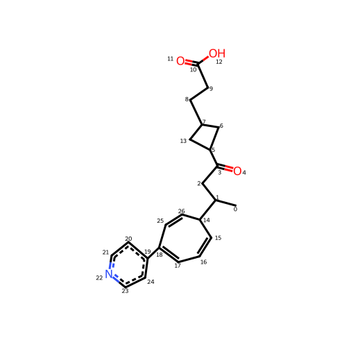 CC(CC(=O)C1CC(CCC(=O)O)C1)C1C=CC=C(c2ccncc2)C=C1